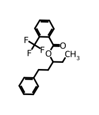 CCC(CCc1ccccc1)OC(=O)c1ccccc1C(F)(F)F